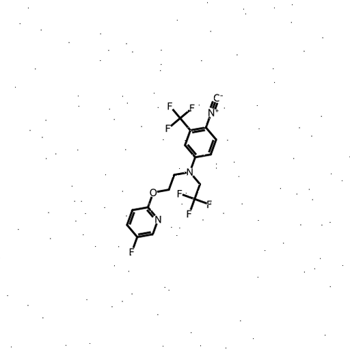 [C-]#[N+]c1ccc(N(CCOc2ccc(F)cn2)CC(F)(F)F)cc1C(F)(F)F